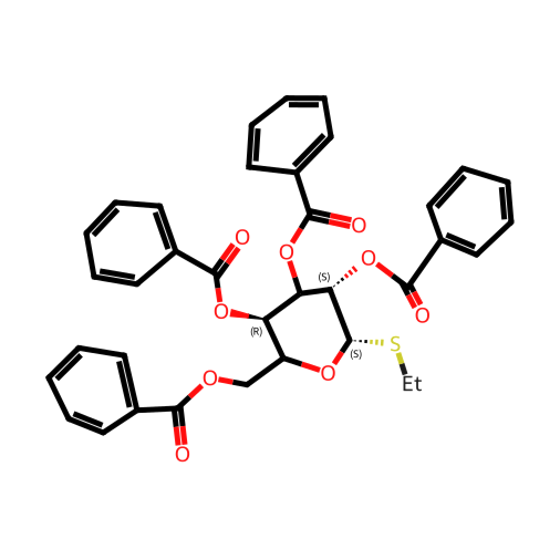 CCS[C@@H]1OC(COC(=O)c2ccccc2)[C@@H](OC(=O)c2ccccc2)C(OC(=O)c2ccccc2)[C@@H]1OC(=O)c1ccccc1